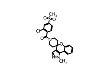 Cn1ncc2c1-c1ccccc1OC21CCN(C(=O)c2ccc(S(C)(=O)=O)cc2Cl)CC1